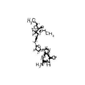 CCOP(=O)(OCC)C(F)(F)CC#CC[C@@H]1CC[C@H](n2cnc3c(=O)[nH]c(N)nc32)O1